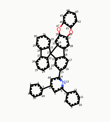 c1ccc(-c2cc(-c3ccccc3)nc(-c3ccc4c(c3)C3(c5ccccc5-c5ccccc53)c3cc5c(cc3-4)Oc3ccccc3O5)c2)cc1